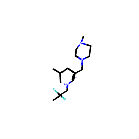 CC(C)C/C(=C\NCC(C)(F)F)CN1CCN(C)CC1